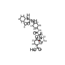 COc1ccccc1NC(=O)Nc1ccc(CC(=O)C(F)(Oc2ccc(C(=O)O)cc2)N2CCCC2)cc1